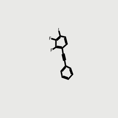 Fc1c(I)ccc(C#Cc2ccccc2)c1F